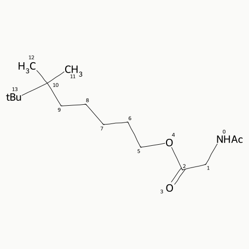 CC(=O)NCC(=O)OCCCCCC(C)(C)C(C)(C)C